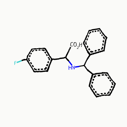 O=C(O)C(NC(c1ccccc1)c1ccccc1)c1ccc(F)cc1